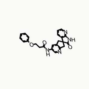 O=C(CCOc1ccccc1)Nc1cnc2c(c1)CC1(C2)C(=O)Nc2ncccc21